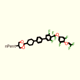 CCCCCC1COC(C2CCC(c3ccc(-c4cc(F)c(C(F)(F)Oc5cc(F)c(OC=C(F)F)c(F)c5)c(F)c4)cc3)CC2)OC1